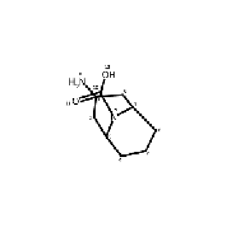 NC1CC2CCCC(C1)N2C(=O)O